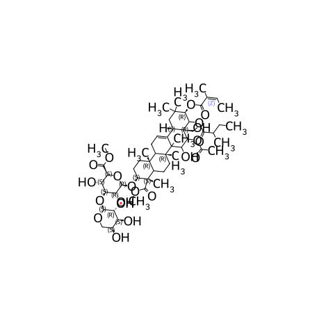 C/C=C(/C)C(=O)O[C@H]1C(OC(=O)C(C)CC)[C@]2(CO)C(OC(C)=O)C(O)C3(C)C(=CCC4[C@@]5(C)CC[C@H](O[C@@H]6O[C@H](C(=O)OC)[C@@H](O)[C@H](O[C@@H]7OC[C@H](O)[C@H](O)[C@H]7O)[C@H]6O)[C@@](C)(C(=O)OC)C5CC[C@]43C)[C@@H]2CC1(C)C